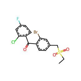 CCS(=O)(=O)Cc1ccc(C(=O)c2ccc(F)cc2Cl)c(Br)c1